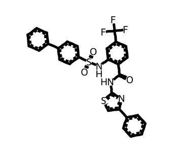 O=C(Nc1nc(-c2ccccc2)cs1)c1ccc(C(F)(F)F)cc1NS(=O)(=O)c1ccc(-c2ccccc2)cc1